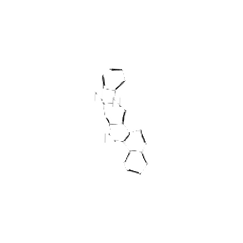 c1ccc2c(c1)ccc1c3cn4c(cc3[nH]c21)nc1ccccc14